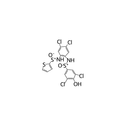 [O-][S+](Nc1cc(Cl)c(Cl)cc1N[S+]([O-])c1cccs1)c1cc(Cl)c(O)c(Cl)c1